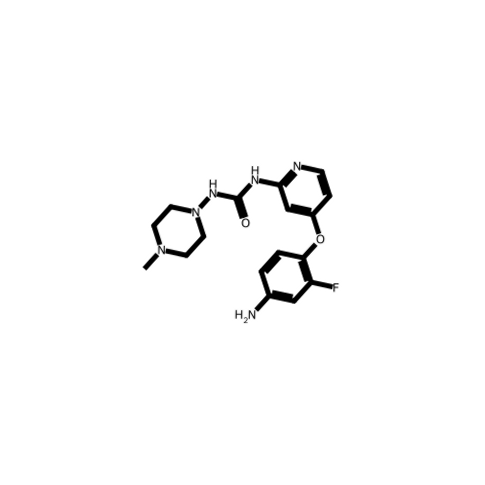 CN1CCN(NC(=O)Nc2cc(Oc3ccc(N)cc3F)ccn2)CC1